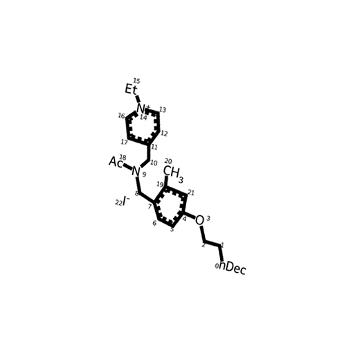 CCCCCCCCCCCCOc1ccc(CN(Cc2cc[n+](CC)cc2)C(C)=O)c(C)c1.[I-]